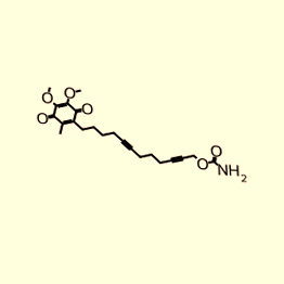 COC1=C(OC)C(=O)C(CCCCC#CCCCC#CCOC(N)=O)=C(C)C1=O